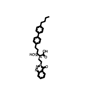 CCCCc1ccc(-c2ccc(CC[C@@H](O)[C@H](CCn3nnc4ccccc4c3=O)C(=O)O)cc2)cc1